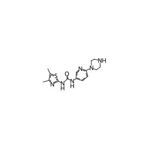 Cc1nc(NC(=O)Nc2ccc(N3CCNCC3)nc2)sc1C